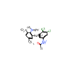 CCC(=O)Nc1ccc(Cl)c(Cl)c1.CCCN(CCC)c1c([N+](=O)[O-])cc(C(F)(F)F)cc1[N+](=O)[O-]